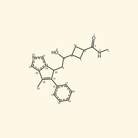 CNC(=O)C1CC(C(O)CC2C(c3ccccc3)=C(C)c3cncn32)C1